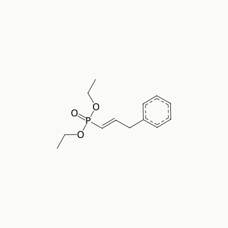 CCOP(=O)(/C=C/Cc1ccccc1)OCC